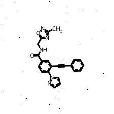 Cc1noc(CNC(=O)c2ccc(-n3cccn3)c(C#Cc3ccccc3)c2)n1